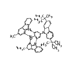 Cc1cc2c3c(c1)c1ccccc1n3-c1cc(N3c4cc(C(C)(C)C)ccc4C4C=CC(C(C)(C)C)=CC43)cc3c1B2c1cc(C)cc2c4ccccc4n-3c12